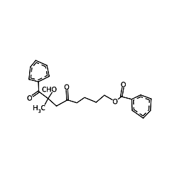 CC(C=O)(CC(=O)CCCCOC(=O)c1ccccc1)C(=O)c1ccccc1